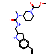 C=Cc1ccc2c(c1)CC(CNC(=O)N(C)[C@@H]1CCCN(C(=O)COC)C1)N2